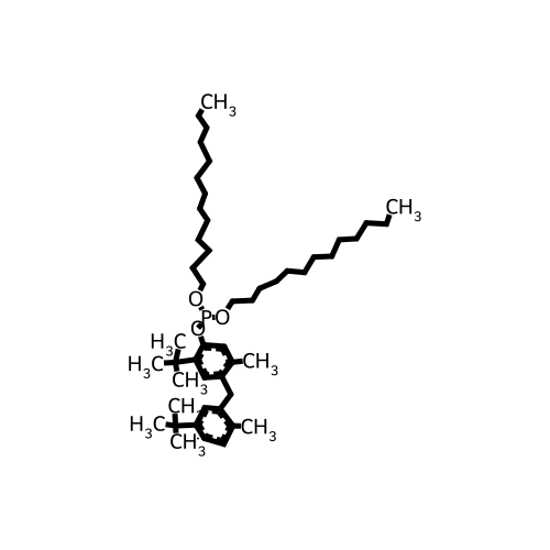 CCCCCCCCCCCCCOP(OCCCCCCCCCCCCC)Oc1cc(C)c(Cc2cc(C(C)(C)C)[c]cc2C)cc1C(C)(C)C